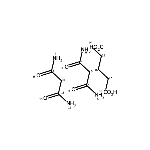 NC(=O)CC(N)=O.NC(=O)CC(N)=O.O=C(O)CCCC(=O)O